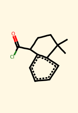 CC1(C)CCC(C(=O)Cl)c2ccccc21